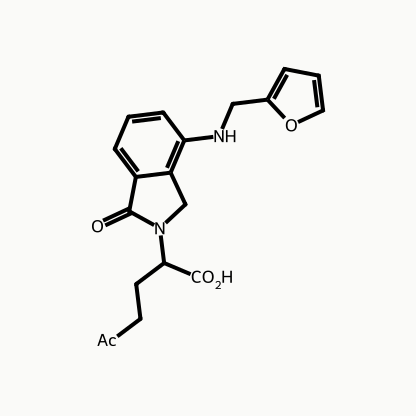 CC(=O)CCC(C(=O)O)N1Cc2c(NCc3ccco3)cccc2C1=O